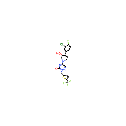 O=c1nc(N2CC=C(c3ccc(F)c(Cl)c3)C(O)C2)cnn1Cc1ccc(C(F)(F)F)s1